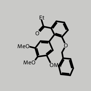 CCC(=O)c1cccc(OCc2ccccc2)c1-c1cc(OC)c(OC)c(OC)c1